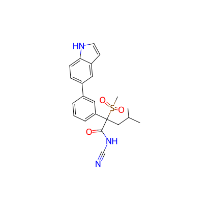 CC(C)CC(C(=O)NC#N)(c1cccc(-c2ccc3[nH]ccc3c2)c1)S(C)(=O)=O